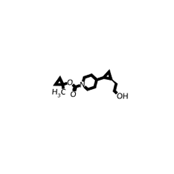 CC1(OC(=O)N2CCC(C3C[C@H]3CCO)CC2)CC1